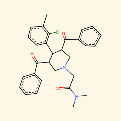 Cc1cccc(C2C(C(=O)c3ccccc3)CN(CC(=O)N(C)C)CC2C(=O)c2ccccc2)c1Cl